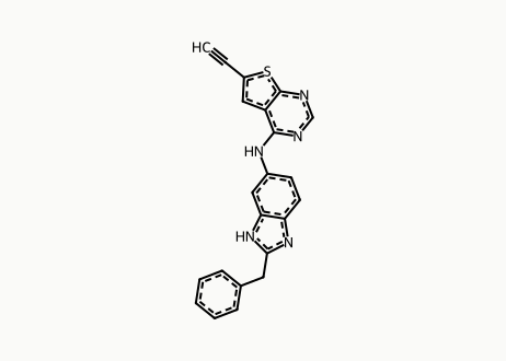 C#Cc1cc2c(Nc3ccc4nc(Cc5ccccc5)[nH]c4c3)ncnc2s1